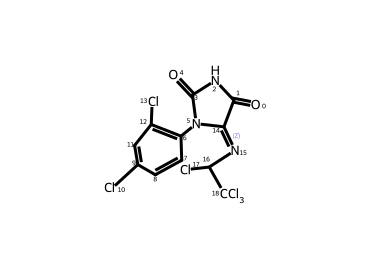 O=C1NC(=O)N(c2ccc(Cl)cc2Cl)/C1=N\C(Cl)C(Cl)(Cl)Cl